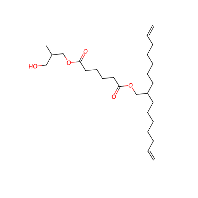 C=CCCCCCC(CCCCCC=C)COC(=O)CCCCC(=O)OCC(C)CO